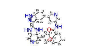 O=C(Nc1cncc(-c2ccc3[nH]nc(C4Nc5cncc(-c6ccoc6)c5N4)c3c2)c1)C1CCCCC1